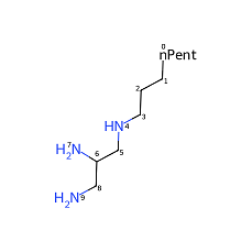 CCCCCCCCNCC(N)CN